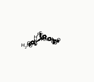 COc1cc(S(N)(=O)=O)ccc1NCC#Cc1cc2c(NC3CCN(CC(COC(C)=O)OC(C)=O)CC3)cccc2n1CC(F)(F)F